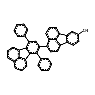 N#Cc1ccc2c(c1)-c1cccc3c(-c4cc(-c5ccccc5)c5c(c4-c4ccccc4)-c4cccc6cccc-5c46)ccc-2c13